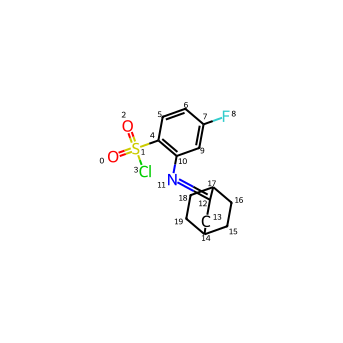 O=S(=O)(Cl)c1ccc(F)cc1N=C1CC2CCC1CC2